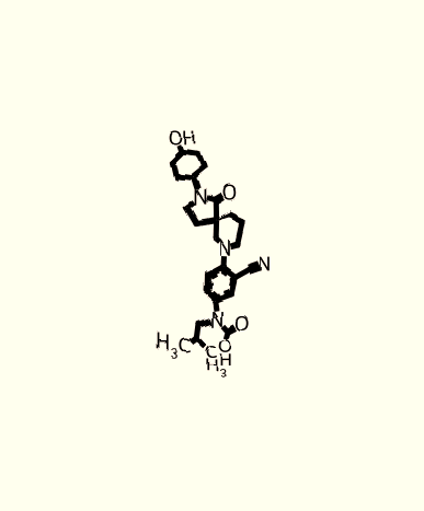 CC(C)CN(C(=O)O)c1ccc(N2CCC[C@]3(CCN(C4CCC(O)CC4)C3=O)C2)c(C#N)c1